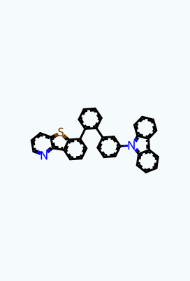 c1cc(-c2ccccc2-c2cccc3c2sc2cccnc23)cc(-n2c3ccccc3c3ccccc32)c1